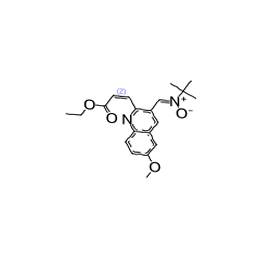 CCOC(=O)/C=C\c1nc2ccc(OC)cc2cc1C=[N+]([O-])C(C)(C)C